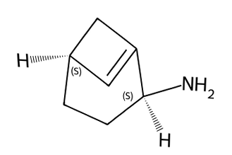 N[C@H]1CC[C@@H]2C=C1C2